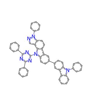 c1ccc(-c2nc(-c3ccccc3)nc(-n3c4ccc(-c5ccc6c(c5)c5ccccc5n6-c5ccccc5)cc4c4ccc5c(cnn5-c5ccccc5)c43)n2)cc1